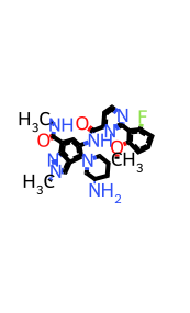 CNC(=O)c1cc(NC(=O)c2ccnc(-c3c(F)cccc3OC)n2)c(N2CCC[C@H](N)C2)c2cn(C)nc12